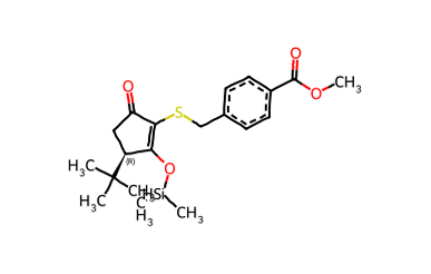 COC(=O)c1ccc(CSC2=C(O[SiH](C)C)[C@@H](C(C)(C)C)CC2=O)cc1